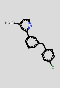 O=C(O)c1ccnc(-c2cccc(Cc3ccc(Cl)cc3)c2)c1